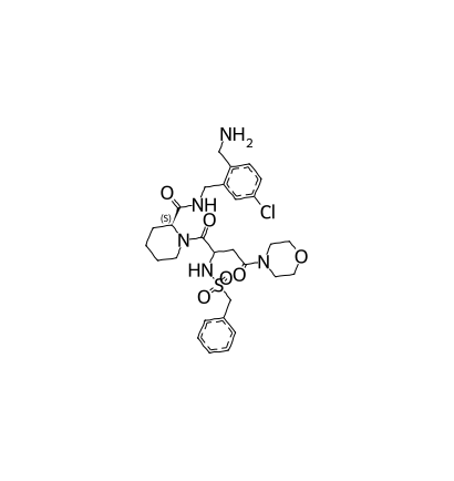 NCc1ccc(Cl)cc1CNC(=O)[C@@H]1CCCCN1C(=O)C(CC(=O)N1CCOCC1)NS(=O)(=O)Cc1ccccc1